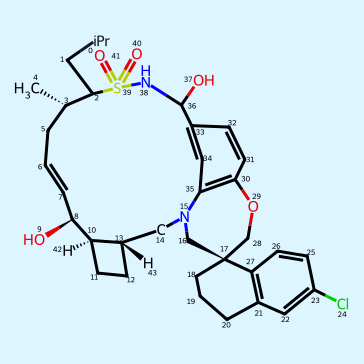 CC(C)CC1[C@@H](C)C/C=C/[C@H](O)[C@@H]2CC[C@H]2CN2C[C@@]3(CCCc4cc(Cl)ccc43)COc3ccc(cc32)C(O)NS1(=O)=O